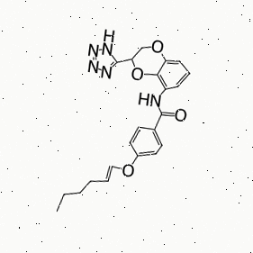 CCCC/C=C/Oc1ccc(C(=O)Nc2cccc3c2OC(c2nnn[nH]2)CO3)cc1